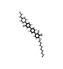 CCCCCCCCCOc1ccc(-c2ccc(-c3ccc(C4CCC(CCC)CC4)c(F)c3)cc2)c(F)c1F